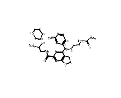 CNC(CNC(=O)c1cc2c(c(C(OCCNC(=O)OC)c3cccc(Cl)c3)c1)CCO2)C[C@H]1CCCOC1